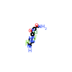 NCC(=O)C1CCN(C(=O)c2ccc(N(c3nccn4c(-c5c[nH]nc5C(F)(F)F)cnc34)C(F)F)cc2Cl)CC1